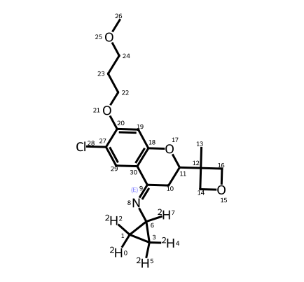 [2H]C1([2H])C([2H])([2H])C1([2H])/N=C1\CC(C2(C)COC2)Oc2cc(OCCCOC)c(Cl)cc21